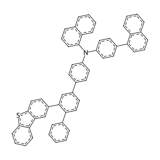 c1ccc(-c2ccc(-c3ccc(N(c4ccc(-c5cccc6ccccc56)cc4)c4cccc5ccccc45)cc3)cc2-c2ccc3sc4ccccc4c3c2)cc1